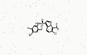 O=S(=O)(Nc1cc(F)c(Br)cc1F)c1cnn2c(C(F)F)c(Cl)ccc12